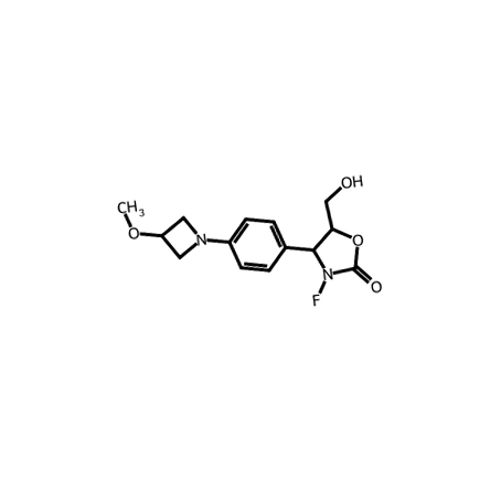 COC1CN(c2ccc(C3C(CO)OC(=O)N3F)cc2)C1